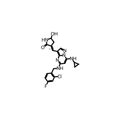 O=C1NC(O)C/C1=C\c1cnn2c(NC3CC3)cc(NCc3ccc(F)cc3Cl)nc12